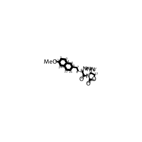 COc1ccc2cc(CC[C@H](N=[N+]=[N-])C(=O)N3CCOC3=O)ccc2c1